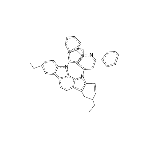 CCc1ccc2c(c1)c1ccc3c4c(n(-c5cc(-c6ccccc6)nc(-c6ccccc6)c5)c3c1n2-c1ccccc1)C=CC(CC)C4